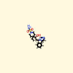 NS(=O)(=O)N1CCC2(CC[C@@H]([C@@H]3c4ccccc4-c4cncn43)[C@@H]2O)CC1